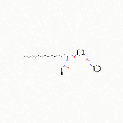 C#CCC(NCC(CCCCCCCCCCCCCC)NC(=O)c1cccc(NC(=O)NCc2ccccc2)c1)C(=O)O